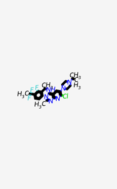 Cc1nc(N[C@H](C)c2cccc(C(C)(F)F)c2F)c2cc(N3CCN(C(C)C)CC3)c(Cl)nc2n1